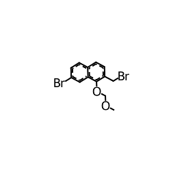 COCOc1c(CBr)ccc2ccc(Br)cc12